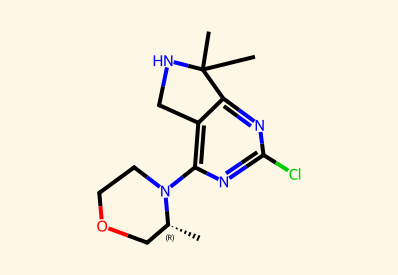 C[C@@H]1COCCN1c1nc(Cl)nc2c1CNC2(C)C